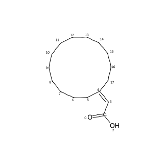 O=C(O)C=C1CCCCCCCCCCCCC1